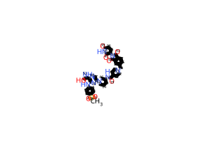 CS(=O)(=O)c1ccc(Nc2nc(N3CCC[C@@H](NC(=O)C4CCN(Cc5ccc6c(c5)C(=O)N(C5CCC(=O)NC5=O)C6=O)CC4)C3)cnc2C(N)O)cc1